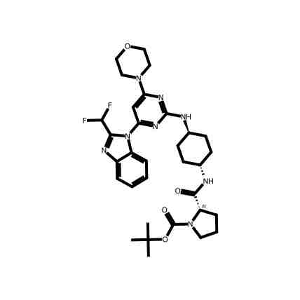 CC(C)(C)OC(=O)N1CCC[C@H]1C(=O)N[C@H]1CC[C@H](Nc2nc(N3CCOCC3)cc(-n3c(C(F)F)nc4ccccc43)n2)CC1